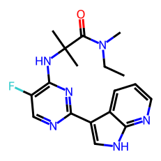 CCN(C)C(=O)C(C)(C)Nc1nc(-c2c[nH]c3ncccc23)ncc1F